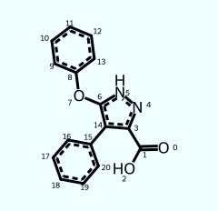 O=C(O)c1n[nH]c(Oc2ccccc2)c1-c1ccccc1